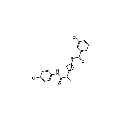 CC(C(=O)Nc1ccc(Cl)cc1)C12CC(NC(=O)c3cccc(Cl)c3)(C1)C2